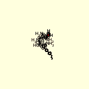 CCCCc1ccc(-c2ccc(C(=O)N3C[C@@H](N)CC3C(=O)N[C@H](C(=O)N[C@@H](N)C(=O)NC(CC(N)=O)C(=O)N[C@@H](N)B3OC4C[C@@H]5C[C@@H](C5(C)C)[C@]4(C)O3)[C@@H](C)O)cc2)cc1